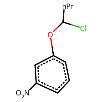 CCCC(Cl)Oc1cccc([N+](=O)[O-])c1